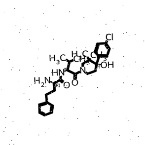 CC(C)[C@@H](NC(=O)[C@H](N)CCc1ccccc1)C(=O)N1CC[C@](O)(c2ccc(Cl)cc2)C(C)(C)C1